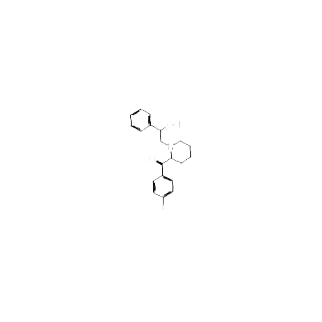 O=C(c1ccc(F)cc1)C1CCCCN1CC(O)c1ccccc1